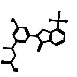 CC(CC(=O)O)c1cc(Br)cc(N2Cc3c(cccc3C(F)(F)F)C2=O)c1